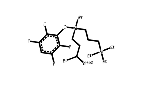 CCCCCCC(CC)CC[Si](CCC[Si](CC)(CC)CC)(Oc1c(F)c(F)[c]c(F)c1F)C(C)C